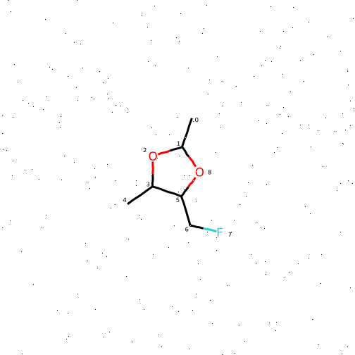 CC1OC(C)C(CF)O1